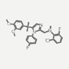 COc1ccc(C(C)(C)c2cnc(CN(C)c3c(F)cccc3Cl)n2-c2ccc(F)cc2)cc1OC